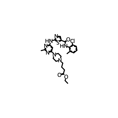 CCOC(=O)CCCN1CCN(c2cc(Nc3ncc(C(=O)Nc4c(C)cccc4Cl)s3)nc(C)n2)CC1